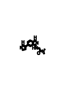 CN(C)C(=O)CNc1n[nH]c2ccc(-c3ccn[nH]3)cc12